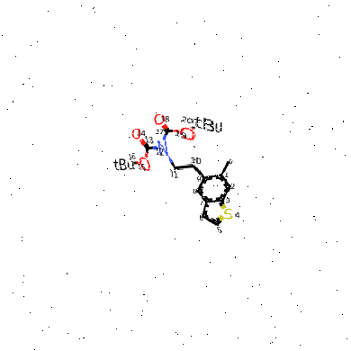 Cc1cc2sccc2cc1CCN(C(=O)OC(C)(C)C)C(=O)OC(C)(C)C